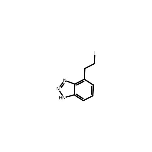 ICCc1cccc2[nH]nnc12